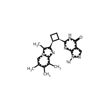 [2H]n1ncc2c(=O)[nH]c([C@@H]3CC[C@@H]3c3nc4c(C)c(C)c(C)cn4c3C)nc21